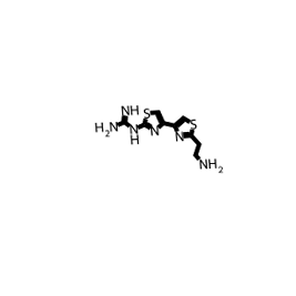 N=C(N)Nc1nc(-c2csc(CCN)n2)cs1